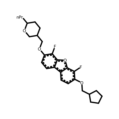 CCCC1CCC(COc2ccc3c(oc4c(F)c(OCC5CCCC5)ccc43)c2F)CO1